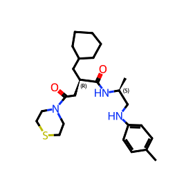 Cc1ccc(NC[C@H](C)NC(=O)[C@@H](CC(=O)N2CCSCC2)CC2CCCCC2)cc1